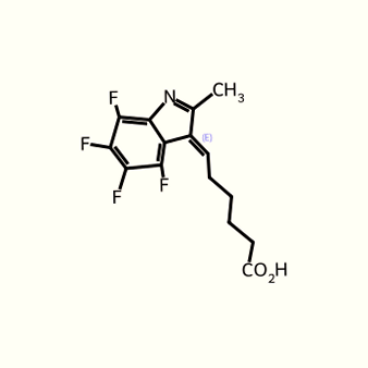 CC1=Nc2c(F)c(F)c(F)c(F)c2/C1=C\CCCCC(=O)O